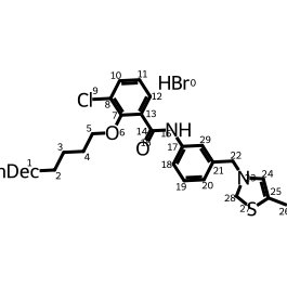 Br.CCCCCCCCCCCCCCOc1c(Cl)cccc1C(=O)Nc1cccc(CN2C=C(C)SC2)c1